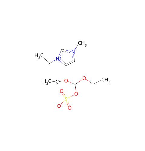 CCOC(OCC)OS(=O)(=O)[O-].CC[n+]1ccn(C)c1